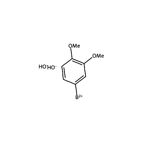 [B+2]c1ccc(OC)c(OC)c1.[OH-].[OH-]